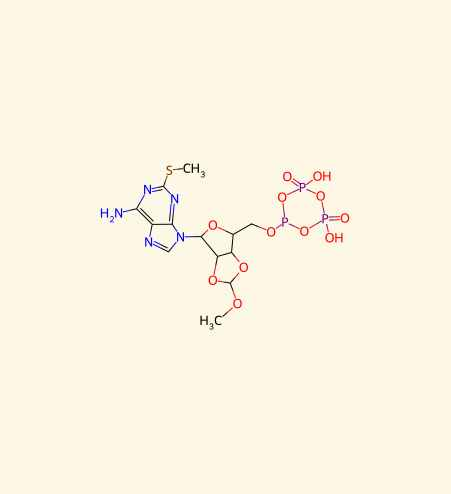 COC1OC2C(COP3OP(=O)(O)OP(=O)(O)O3)OC(n3cnc4c(N)nc(SC)nc43)C2O1